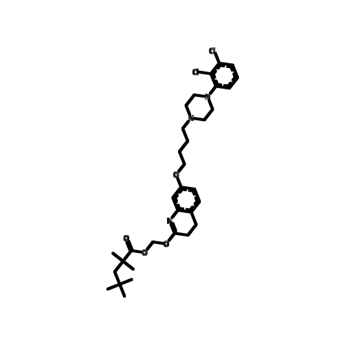 CC(C)(C)CC(C)(C)C(=O)OCOC1=Nc2cc(OCCCCN3CCN(c4cccc(Cl)c4Cl)CC3)ccc2CC1